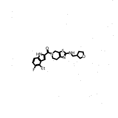 CCc1c(F)ccc2[nH]c(C(=O)N3CCc4nc(NCC5CCOC5)sc4C3)cc12